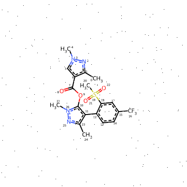 Cc1nn(C)cc1C(=O)Oc1c(-c2ccc(C(F)(F)F)cc2S(C)(=O)=O)c(C)nn1C